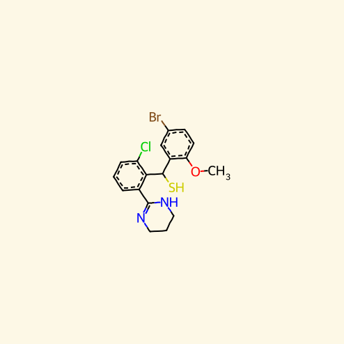 COc1ccc(Br)cc1C(S)c1c(Cl)cccc1C1=NCCCN1